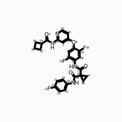 O=C(Nc1cc(Oc2cc(F)c(NC(=O)C3(C(=O)Nc4ccc(F)cc4)CC3)cc2F)ccn1)C1CCC1